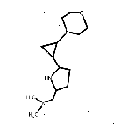 CN(C)CC1CCC(C2CC2N2CCOCC2)N1